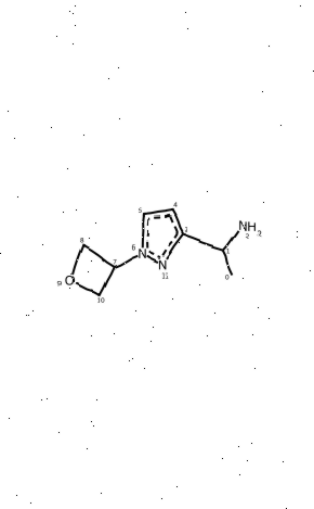 CC(N)c1ccn(C2COC2)n1